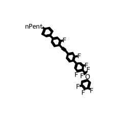 CCCCCc1ccc(-c2ccc(C#Cc3ccc(-c4cc(F)c(C(F)(F)Oc5cc(F)c(F)c(F)c5)c(F)c4)c(F)c3)c(F)c2)cc1